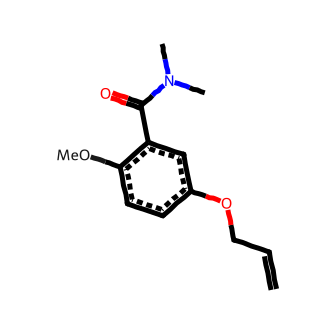 C=CCOc1ccc(OC)c(C(=O)N(C)C)c1